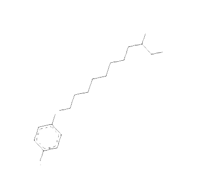 CCC(C)CCCCCCCCOc1ccc(Br)cc1